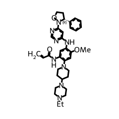 C=CC(=O)Nc1cc(Nc2cc(N3OCC[C@@H]3c3ccccc3)ncn2)c(OC)cc1N1CCC(N2CCN(CC)CC2)CC1